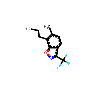 CCCc1c(C)ccc2c(C(F)(F)F)noc12